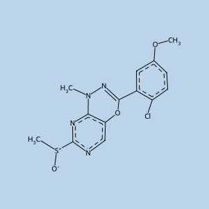 COc1ccc(Cl)c(C2=NN(C)c3nc([S+](C)[O-])ncc3O2)c1